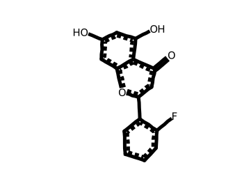 O=c1cc(-c2ccccc2F)oc2cc(O)cc(O)c12